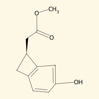 COC(=O)C[C@@H]1Cc2ccc(O)cc21